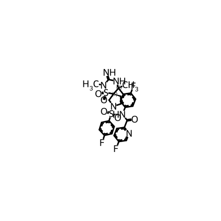 CN1C(=N)N[C@](C)(c2cc(NC(=O)c3ccc(F)cn3)ccc2F)[C@@]2(CCN(S(=O)(=O)c3ccc(F)cc3)C2)S1(=O)=O